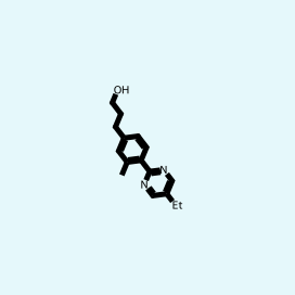 CCc1cnc(-c2ccc(CCCO)cc2C)nc1